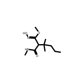 CCCC(C)(C)C(C(=O)NC)C(=NO)SC